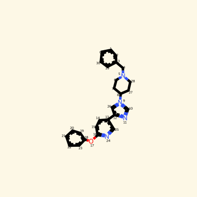 c1ccc(CN2CCC(n3cnc(-c4ccc(Oc5ccccc5)nc4)c3)CC2)cc1